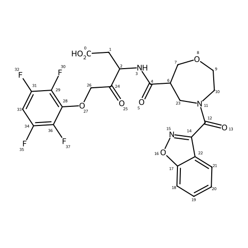 O=C(O)CC(NC(=O)C1COCCN(C(=O)c2noc3ccccc23)C1)C(=O)COc1c(F)c(F)cc(F)c1F